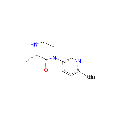 C[C@@H]1NCCN(c2ccc(C(C)(C)C)nc2)C1=O